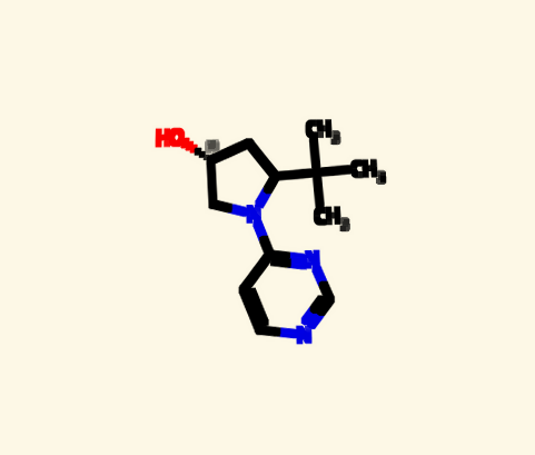 CC(C)(C)C1C[C@@H](O)CN1c1ccncn1